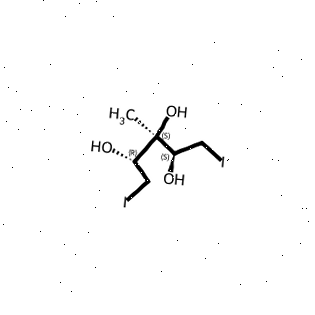 C[C@](O)([C@H](O)CI)[C@@H](O)CI